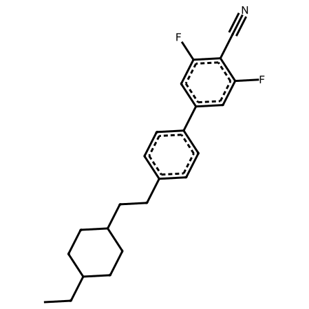 CCC1CCC(CCc2ccc(-c3cc(F)c(C#N)c(F)c3)cc2)CC1